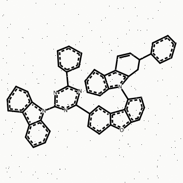 C1=CC(c2ccccc2)Cc2c1c1ccccc1n2-c1cccc2oc3ccc(-c4nc(-c5ccccc5)nc(-n5c6ccccc6c6ccccc65)n4)cc3c12